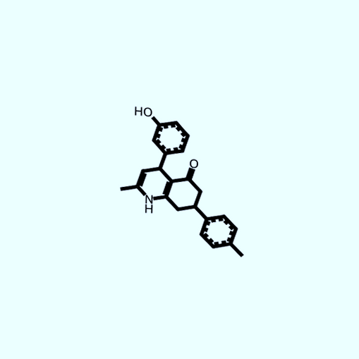 CC1=CC(c2cccc(O)c2)C2=C(CC(c3ccc(C)cc3)CC2=O)N1